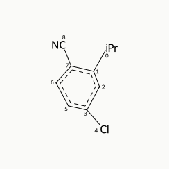 CC(C)c1cc(Cl)ccc1C#N